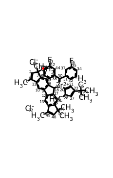 CC1=CC(C)(C)c2cc3c(cc21)-c1cc2c(cc1[CH]3[Zr+2]([C]1=CC(C(C)(C)C)=CC1C)=[C](c1cccc(F)c1)c1cccc(F)c1)C(C)(C)C=C2C.[Cl-].[Cl-]